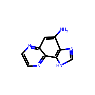 Nc1cc2nccnc2c2[nH]cnc12